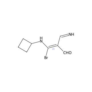 N=C/C(C=O)=C(/Br)NC1CCC1